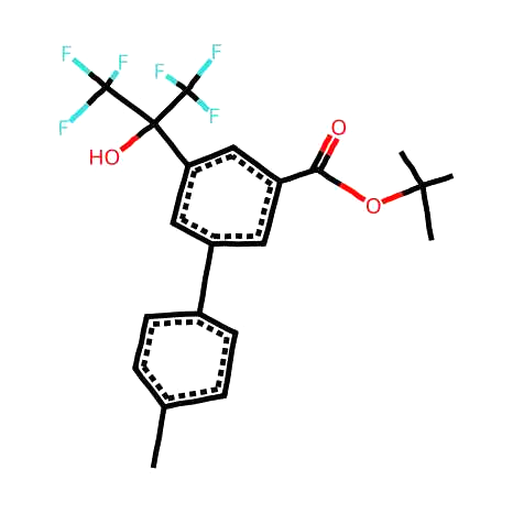 Cc1ccc(-c2cc(C(=O)OC(C)(C)C)cc(C(O)(C(F)(F)F)C(F)(F)F)c2)cc1